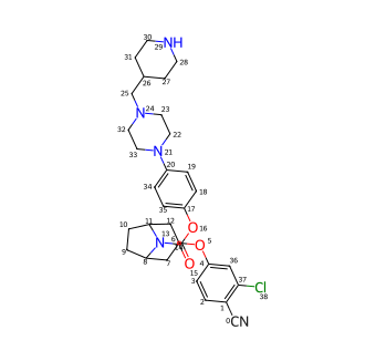 N#Cc1ccc(OC2CC3CCC(C2)N3C(=O)Oc2ccc(N3CCN(CC4CCNCC4)CC3)cc2)cc1Cl